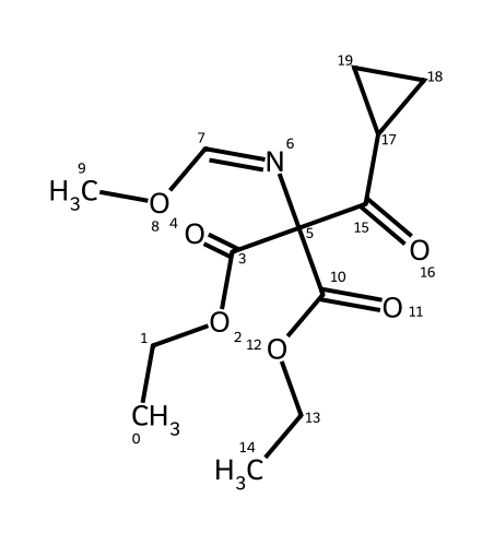 CCOC(=O)C(/N=C\OC)(C(=O)OCC)C(=O)C1CC1